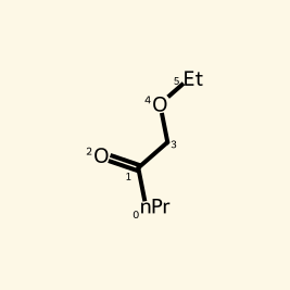 CCCC(=O)COCC